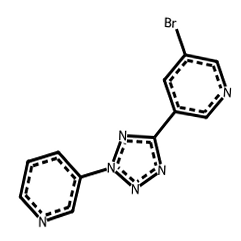 Brc1cncc(-c2nnn(-c3cccnc3)n2)c1